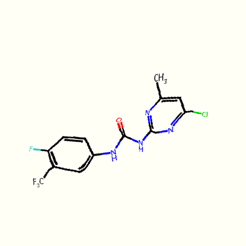 Cc1cc(Cl)nc(NC(=O)Nc2ccc(F)c(C(F)(F)F)c2)n1